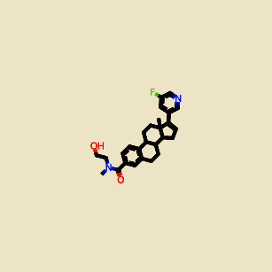 CN(CCO)C(=O)c1ccc2c(c1)CCC1C2CCC2(C)C(c3cncc(F)c3)=CCC12